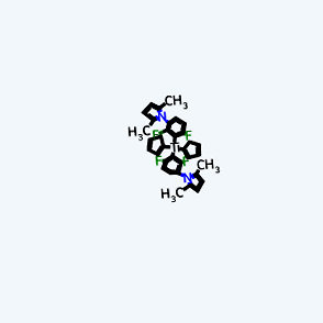 Cc1ccc(C)n1-c1ccc(F)[c]([Ti]([C]2=CC=CC2)([C]2=CC=CC2)[c]2c(F)ccc(-n3c(C)ccc3C)c2F)c1F